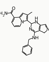 Cc1cc2c(C(N)=O)cccn2c1C1N=C(NCc2ccccc2)C2=C(C=NC2)N1